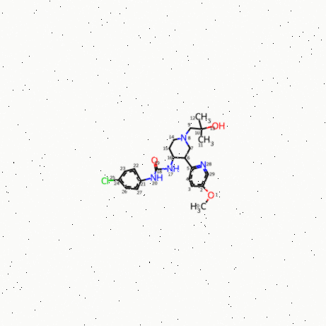 COc1ccc(C2CN(CC(C)(C)O)CCC2NC(=O)Nc2ccc(Cl)cc2)nc1